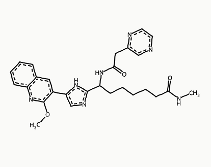 CNC(=O)CCCCCC(NC(=O)Cc1cnccn1)c1ncc(-c2cc3ccccc3nc2OC)[nH]1